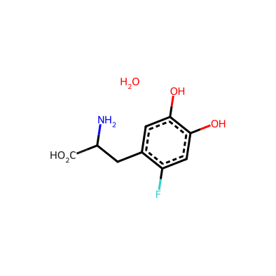 NC(Cc1cc(O)c(O)cc1F)C(=O)O.O